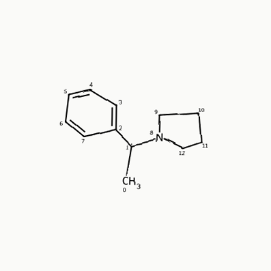 C[C](c1ccccc1)N1CCCC1